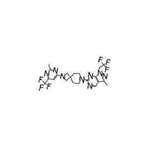 Cc1nc(N2CC3(CCN(c4ncc5c(C)nn(CC(F)(F)F)c5n4)CC3)C2)cc(C(F)(F)F)n1